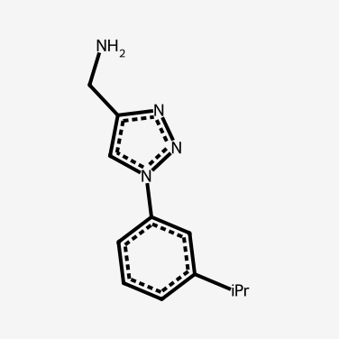 CC(C)c1cccc(-n2cc(CN)nn2)c1